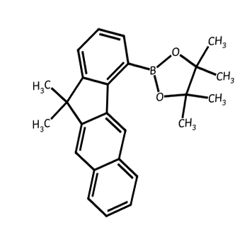 CC1(C)c2cc3ccccc3cc2-c2c(B3OC(C)(C)C(C)(C)O3)cccc21